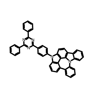 c1ccc(-c2nc(-c3ccccc3)nc(-c3ccc(-n4c5cccc6c7ccccc7n7c8ccccc8c8ccc4c(c65)c87)cc3)n2)cc1